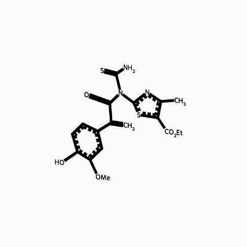 C=C(C(=O)N(C(N)=S)c1nc(C)c(C(=O)OCC)s1)c1ccc(O)c(OC)c1